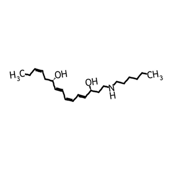 CC/C=C\C[C@H](O)/C=C/C=C\C=C\[C@@H](O)CCNCCCCCC